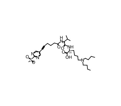 CCCCN(CCCC)CCCC[C@H](NC(=O)[C@@H](NC(=O)CCCC#Cc1cnc(S(C)(=O)=O)nc1)C(C)C)C(=O)O